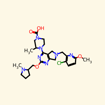 COc1ccc(Cl)c(CN2Cc3nc(OCC4CCCN4C)nc(N4CCN(C(=O)O)CC4C)c3C2)n1